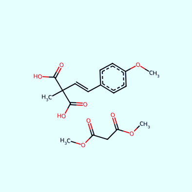 COC(=O)CC(=O)OC.COc1ccc(C=CC(C)(C(=O)O)C(=O)O)cc1